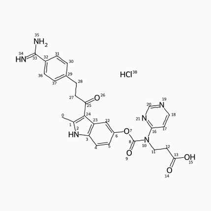 Cc1[nH]c2ccc(OC(=O)N(CCC(=O)O)c3ccncn3)cc2c1C(=O)CCc1ccc(C(=N)N)cc1.Cl